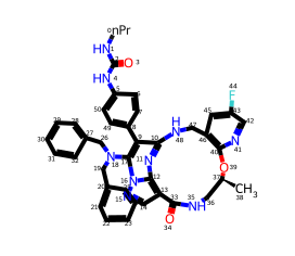 CCCNC(=O)Nc1ccc(-c2c3nc4c(cnn4c2N(Cc2ccccc2)Cc2ccccc2)C(=O)NC[C@H](C)Oc2ncc(F)cc2CN3)cc1